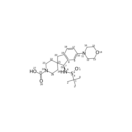 CC(C)(C)[S+]([O-])N[C@@H]1c2cc(N3CCOCC3)ccc2CC12CCN(C(=O)O)CC2